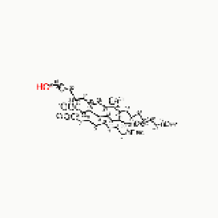 CCCCCCCCCCCCCCCCCC(=O)[O-].CCCCCCCCCCCCCCCCCC(=O)[O-].CCCCCCCCCCCCCCCCCCCCCCCCCCO.[Ca+2]